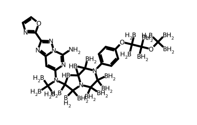 BC(B)(B)OC(B)(B)C(B)(B)Oc1ccc(N2C(B)(B)C(B)(B)N3C(B)(B)C(B)(N(c4cc5nc(-c6ncco6)nn5c(N)n4)C(B)(B)B)BC34BC24B)cc1